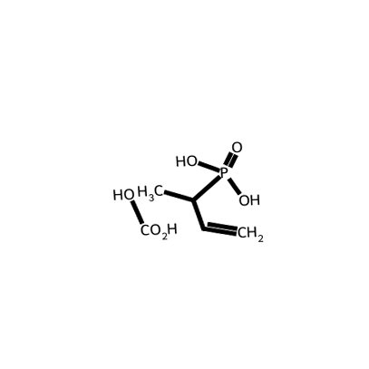 C=CC(C)P(=O)(O)O.O=C(O)O